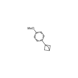 COc1ccc(C23CC(C2)C3)cc1